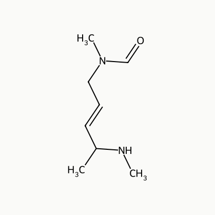 CNC(C)/C=C/CN(C)C=O